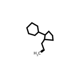 C=CC[C]1CCCC1C1CCCCC1